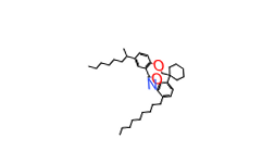 CCCCCCCCCc1ccc(C2(C(=O)Oc3ccc(C(C)CCCCCC)cc3C#N)CCCCC2)cc1